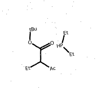 CCC(C(C)=O)C(=O)OC(C)(C)C.CCPCC